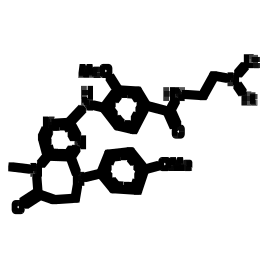 CCN(CC)CCNC(=O)c1ccc(Nc2ncc3c(n2)N(c2ccc(OC)cc2)CCC(=O)N3C)c(OC)c1